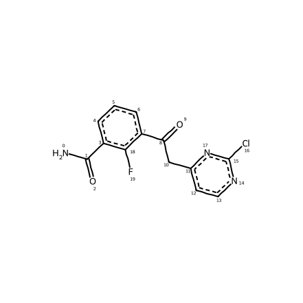 NC(=O)c1cccc(C(=O)Cc2ccnc(Cl)n2)c1F